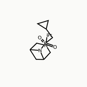 CC(C)N1CC2CC(C1)N2S(=O)(=O)CC1CC1